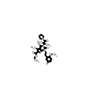 CCOC(=O)c1sc2c(c1C)c(=O)n(C(C)(C)C(=O)N1CCCC1)c(=O)n2CCc1cc(F)ccc1OC